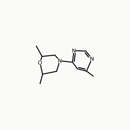 Cc1cc(N2CC(C)OC(C)C2)ncn1